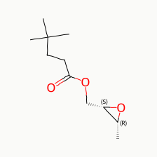 C[C@H]1O[C@H]1COC(=O)CCC(C)(C)C